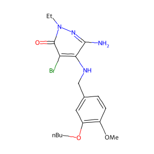 CCCCOc1cc(CNc2c(N)nn(CC)c(=O)c2Br)ccc1OC